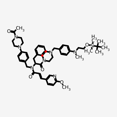 COc1ccc(C=CC(=O)N(Cc2ccc(N3CCN(C(C)=O)CC3)cc2)C(Cc2ccccc2)C(=O)N2CCN(Cc3ccc(N(C)CCO[Si](C)(C)C(C)(C)C)cc3)CC2)cn1